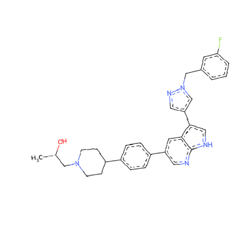 CC(O)CN1CCC(c2ccc(-c3cnc4[nH]cc(-c5cnn(Cc6cccc(F)c6)c5)c4c3)cc2)CC1